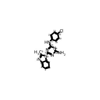 Cc1nc2ccccc2n1-c1nc(N)nc(Nc2ccc(Cl)cc2)n1